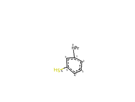 CCCc1cc[c]c(S)c1